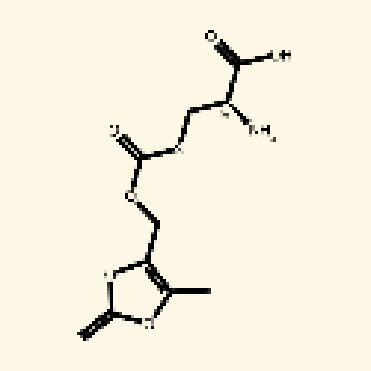 C=C1OC(C)=C(COC(=O)SC[C@H](N)C(=O)O)O1